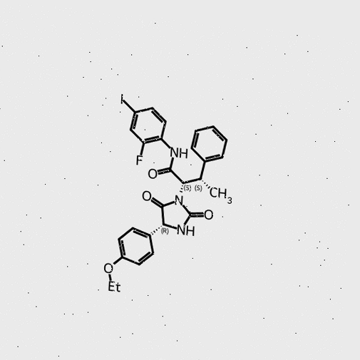 CCOc1ccc([C@H]2NC(=O)N([C@H](C(=O)Nc3ccc(I)cc3F)[C@@H](C)c3ccccc3)C2=O)cc1